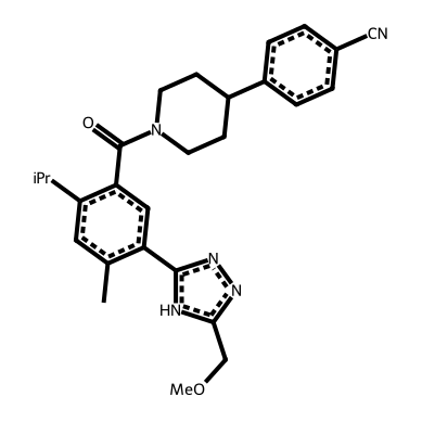 COCc1nnc(-c2cc(C(=O)N3CCC(c4ccc(C#N)cc4)CC3)c(C(C)C)cc2C)[nH]1